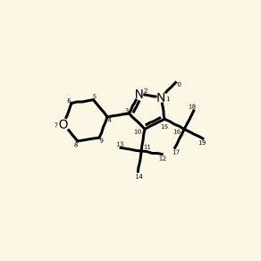 Cn1nc(C2CCOCC2)c(C(C)(C)C)c1C(C)(C)C